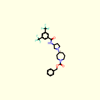 O=C(NC1CCN([C@H]2CCCN(C(=O)OCc3ccccc3)CC2)C1)c1cc(C(F)(F)F)cc(C(F)(F)F)c1